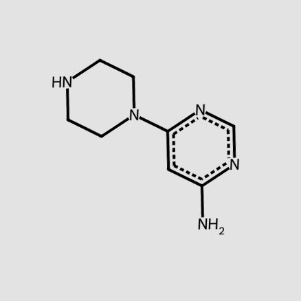 Nc1cc(N2CCNCC2)ncn1